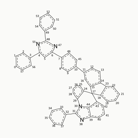 c1ccc(-c2cc(-c3ccc(-c4ccc5c(c4)C4(c6ccccc6-5)c5ccccc5-n5c(-c6ccccc6)nc6cccc4c65)cc3)nc(-c3ccccc3)n2)cc1